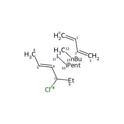 C=CC=C.CC=CC(Cl)CC.CCCC(C)I.CCCCC